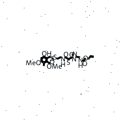 C=CCOC(=O)NCc1noc(C(=S)C(=O)NCCSSCc2c(O)cc(OC)c(C)c2C(=O)OC)n1